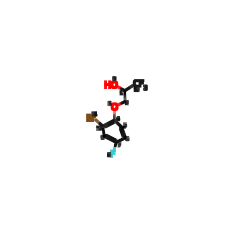 OC(COc1[c]cc(F)cc1Br)C(F)(F)F